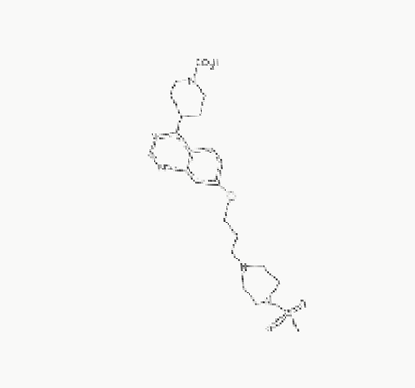 CS(=O)(=O)N1CCN(CCCOc2ccc3c(C4CCN(C(=O)O)CC4)ncnc3c2)CC1